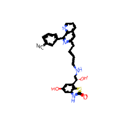 N#Cc1cccc(-c2nc(CCCCNC[C@H](O)c3cc(O)cc4[nH]c(=O)sc34)cc3cccnc23)c1